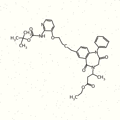 CCOC(=O)CC(C)N1CC(=O)N(c2ccccc2)c2ccc(CCCCOc3cccnc3NC(=O)OC(C)(C)C)cc2C1=O